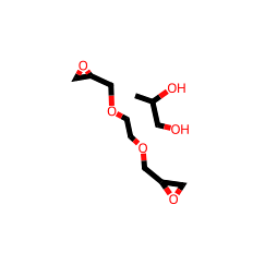 C(COCC1CO1)OCC1CO1.CC(O)CO